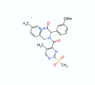 COc1cccc(C(C(N)=O)N(Cc2ccc(C)cc2)C(=O)c2nc(S(C)(=O)=O)ncc2C)c1